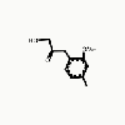 COc1cc(C)ccc1CC(=O)CO